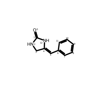 O=C1NCC(=Cc2ccccc2)N1